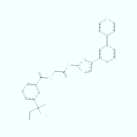 CCC(C)(O)c1cccc(C(=O)NCC(=O)Nc2nc(-c3cccc(-c4ccncc4)c3)cs2)c1